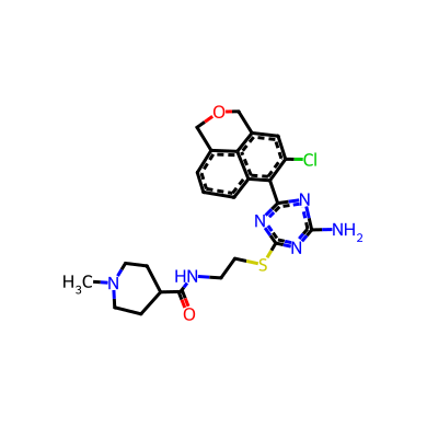 CN1CCC(C(=O)NCCSc2nc(N)nc(-c3c(Cl)cc4c5c(cccc35)COC4)n2)CC1